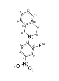 O=[N+]([O-])c1ccc(N2CCc3ccccc3C2)c(F)c1